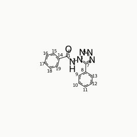 O=C(Nn1nnnc1-c1ccccc1)c1ccccc1